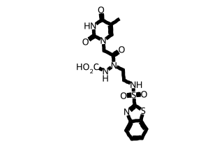 Cc1cn(CC(=O)N(CCNS(=O)(=O)c2nc3ccccc3s2)NC(=O)O)c(=O)[nH]c1=O